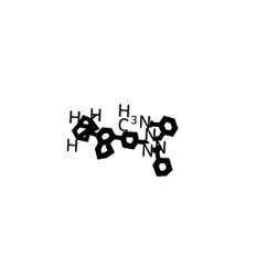 Cc1cc(-c2nc(-c3ccccc3)nc(-c3ccccc3C#N)n2)ccc1-c1ccc(C23C[C@H]4C[C@@H](C2)C[C@@H](C3)C4)c2ccccc12